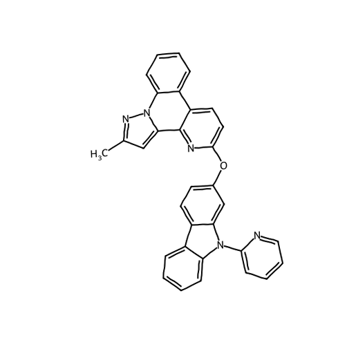 Cc1cc2c3nc(Oc4ccc5c6ccccc6n(-c6ccccn6)c5c4)ccc3c3ccccc3n2n1